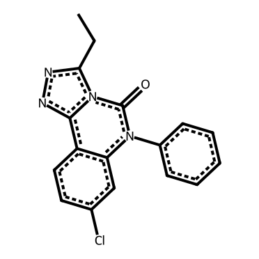 CCc1nnc2c3ccc(Cl)cc3n(-c3ccccc3)c(=O)n12